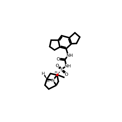 CCN1C2CC[C@@H]1C[C@H](S(=O)(=O)NC(=O)Nc1c3c(cc4c1CCC4)CCC3)C2